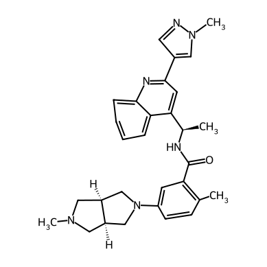 Cc1ccc(N2C[C@H]3CN(C)C[C@H]3C2)cc1C(=O)N[C@H](C)c1cc(-c2cnn(C)c2)nc2ccccc12